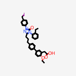 CCOc1ccc(-c2ccc(CCCc3nn(-c4ccc(CI)cc4)c(=O)n3-c3ccccc3CC)cc2)cc1CC(=O)O